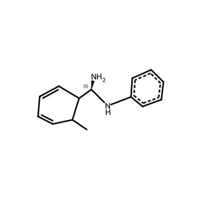 CC1C=CC=CC1[C@@H](N)Nc1ccccc1